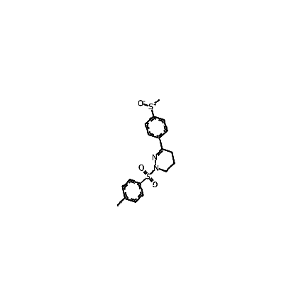 Cc1ccc(S(=O)(=O)N2CCCC(c3ccc([S+](C)[O-])cc3)=N2)cc1